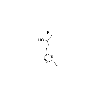 OC(CBr)CCc1ccc(Cl)s1